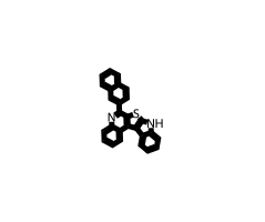 c1ccc2cc(-c3nc4ccccc4c4c3sc3[nH]c5ccccc5c34)ccc2c1